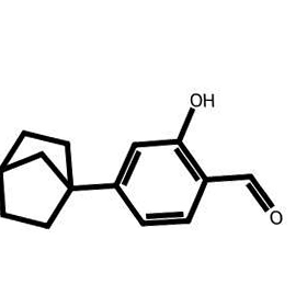 O=Cc1ccc(C23CCC(CC2)C3)cc1O